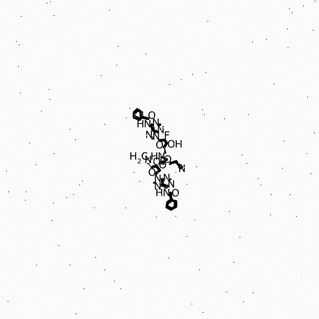 C=NC[C@H]1O[C@@H](n2cnc3c(NC(=O)c4ccccc4)ncnc32)C[C@@H]1OP(=O)(NC[C@H]1O[C@@H](n2cnc3c(NC(=O)c4ccccc4)ncnc32)[C@H](F)[C@@H]1O)OCCC#N